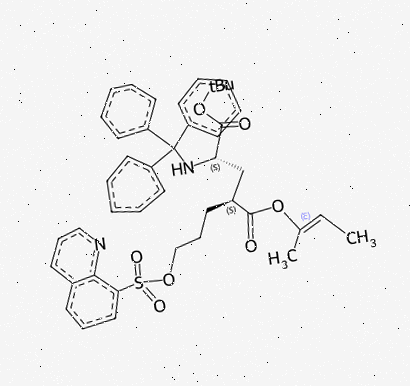 C/C=C(\C)OC(=O)[C@@H](CCCOS(=O)(=O)c1cccc2cccnc12)C[C@H](NC(c1ccccc1)(c1ccccc1)c1ccccc1)C(=O)OC(C)(C)C